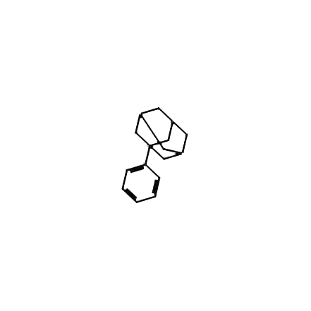 [c]1ccccc1C12CC3CC(CC(C3)C1)C2